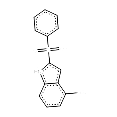 CC(=O)Oc1cccc2[nH]c(S(=O)(=O)c3ccccc3)cc12